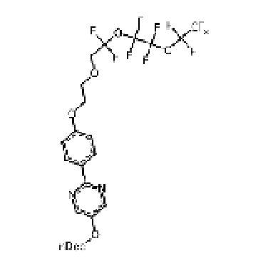 CCCCCCCCCCOc1cnc(-c2ccc(OCCOCC(F)(F)OC(F)(F)C(F)(F)OC(F)(F)C(F)(F)F)cc2)nc1